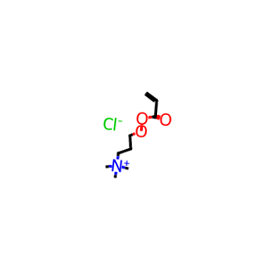 C=CC(=O)OOCCC[N+](C)(C)C.[Cl-]